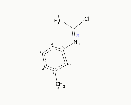 Cc1cccc(/N=C(/Cl)C(F)(F)F)c1